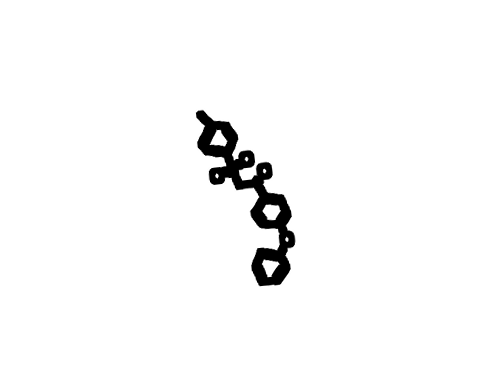 Cc1ccc(S(=O)(=O)CC(=O)c2ccc(Oc3ccccc3)cc2)cc1